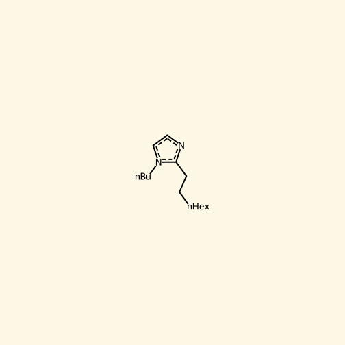 CCCCCCCCc1nccn1CCCC